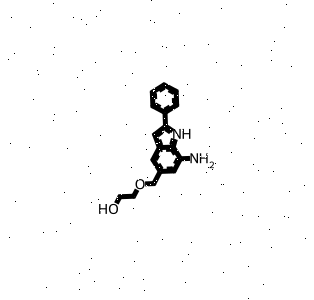 Nc1cc(COCCO)cc2cc(-c3ccccc3)[nH]c12